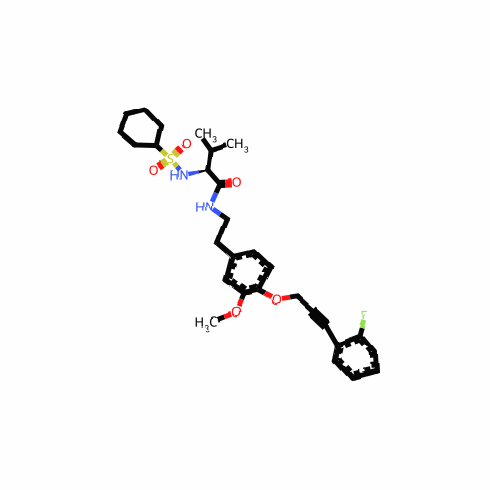 COc1cc(CCNC(=O)[C@@H](NS(=O)(=O)C2CCCCC2)C(C)C)ccc1OCC#Cc1ccccc1F